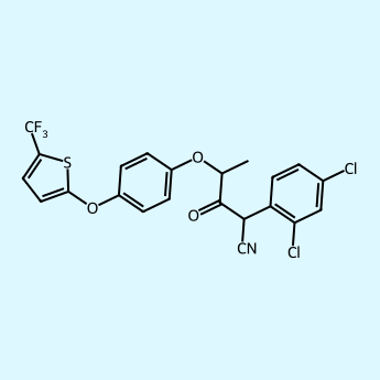 CC(Oc1ccc(Oc2ccc(C(F)(F)F)s2)cc1)C(=O)C(C#N)c1ccc(Cl)cc1Cl